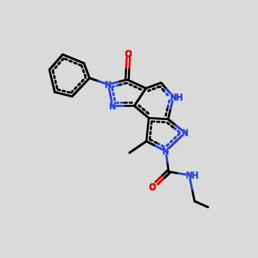 CCNC(=O)n1nc2[nH]cc3c(=O)n(-c4ccccc4)nc-3c2c1C